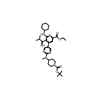 CCOC(=O)c1cc(-c2cnc(N(C)C3CCN(C(=O)OC(C)(C)C)CC3)nc2)c(C(=N)C(C)C)c(NC2CCCCC2)n1